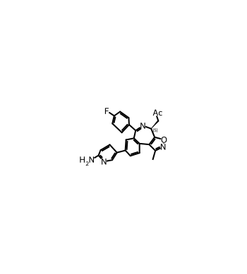 CC(=O)C[C@@H]1N=C(c2ccc(F)cc2)c2cc(-c3ccc(N)nc3)ccc2-c2c(C)noc21